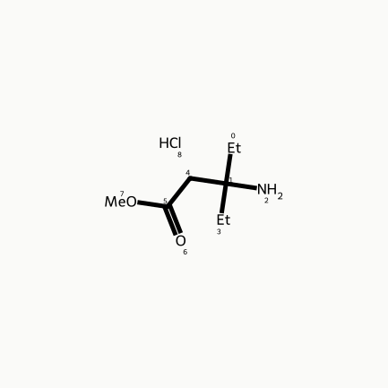 CCC(N)(CC)CC(=O)OC.Cl